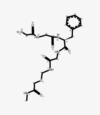 CNC(=O)COCNC(=O)CNC(=O)[C@H](Cc1ccccc1)NC(=O)CNC(=O)CN